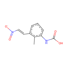 Cc1c(/C=C/[N+](=O)[O-])cccc1NC(=O)O